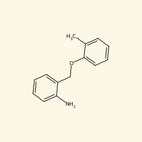 Cc1ccccc1OCc1ccccc1N